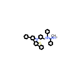 CNC(c1ccccc1)N1C(c2ccccc2)[N@@]1Cc1cccc(-n2c3ccc(-c4ccccc4)cc3c3ccc4c5ccccc5sc4c32)c1